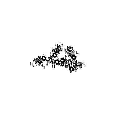 NC(=O)C(NS(=O)(=O)c1cccc(Nc2nc(Nc3cccc(S(=O)(=O)NC(C(N)=O)C(N)=O)c3)nc(Nc3ccc(-c4ccc(Nc5nc(Nc6cccc(S(=O)(=O)NC(C(N)=O)C(N)=O)c6)nc(Nc6cccc(S(=O)(=O)NC(C(N)=O)C(N)=O)c6)n5)cc4S(=O)(=O)O)c(S(=O)(=O)O)c3)n2)c1)C(N)=O